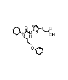 O=C(O)CSc1cnc(NC(=O)N(CCCCOc2ccccc2)C2CCCCC2)s1